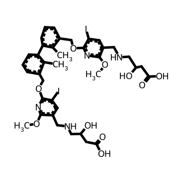 COc1nc(OCc2cccc(-c3cccc(COc4nc(OC)c(CNCC(O)CC(=O)O)cc4I)c3C)c2C)c(I)cc1CNCC(O)CC(=O)O